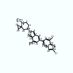 CCN1CC[C@H](n2cc3cc(-c4cc(C)c5nc(C)cn5n4)cc(F)c3n2)CC12CC2